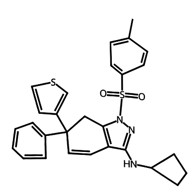 Cc1ccc(S(=O)(=O)n2nc(NC3CCC3)c3c2CC(c2ccccc2)(c2ccsc2)C=C3)cc1